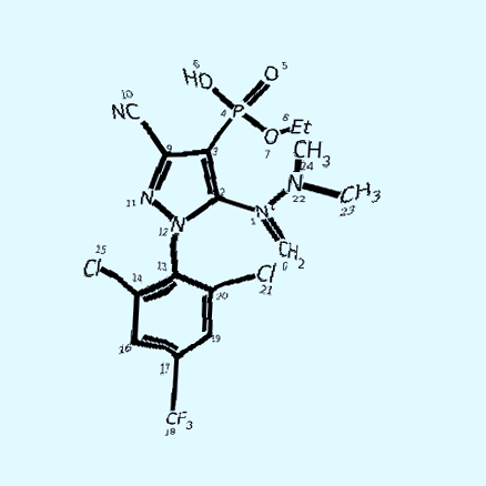 C=[N+](c1c(P(=O)(O)OCC)c(C#N)nn1-c1c(Cl)cc(C(F)(F)F)cc1Cl)N(C)C